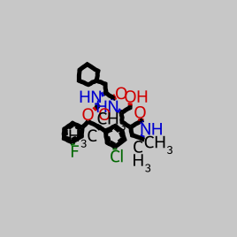 CC1(C)CC(CC(CO)NC(=O)C(CC2CCCCC2)NC(=O)OC(c2cccc(F)c2)C(C)(C)c2cccc(Cl)c2)C(=O)N1